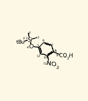 CC(C)(C)[Si](C)(C)Oc1ccc(C(=O)O)c([N+](=O)[O-])c1